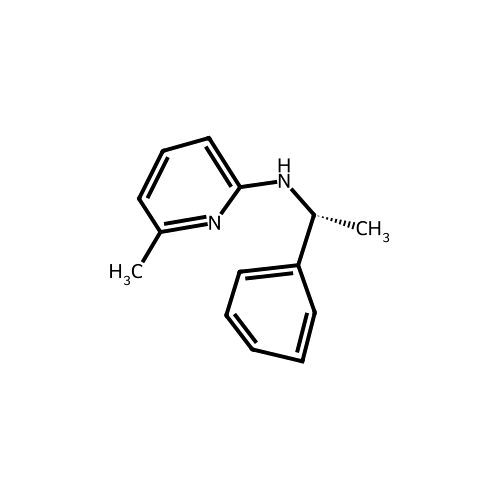 Cc1cccc(N[C@H](C)c2ccccc2)n1